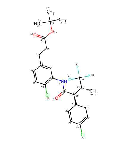 C[C@H]([C@H](C(=O)Nc1cc(CCC(=O)OC(C)(C)C)ccc1Cl)C1C=CC(Cl)=CC1)C(F)(F)F